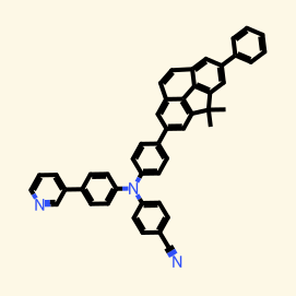 CC1(C)c2cc(-c3ccccc3)cc3ccc4cc(-c5ccc(N(c6ccc(C#N)cc6)c6ccc(-c7cccnc7)cc6)cc5)cc1c4c23